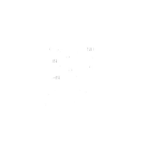 CC(=O)NCC(C)CS(=O)(=O)NC(=O)Nc1c2c(cc3c1CCC3)CCC2